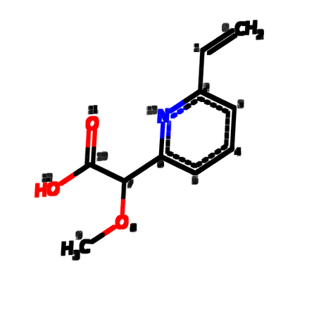 C=Cc1cccc(C(OC)C(=O)O)n1